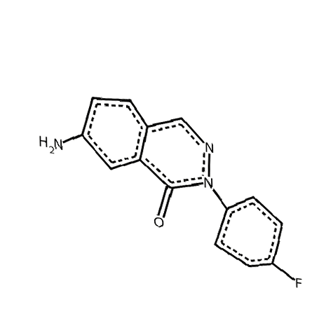 Nc1ccc2cnn(-c3ccc(F)cc3)c(=O)c2c1